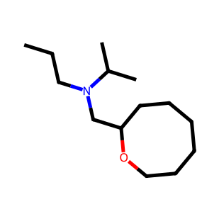 CCCN(CC1CCCCCCO1)C(C)C